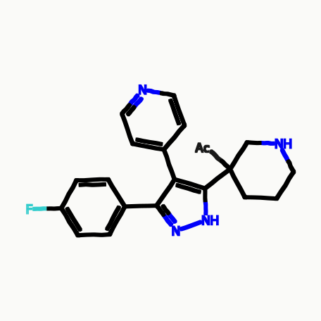 CC(=O)C1(c2[nH]nc(-c3ccc(F)cc3)c2-c2ccncc2)CCCNC1